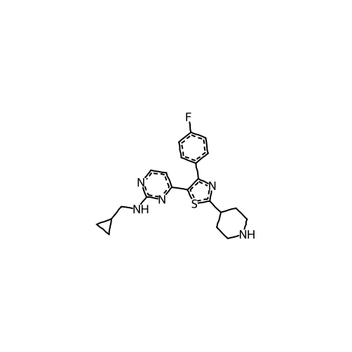 Fc1ccc(-c2nc(C3CCNCC3)sc2-c2ccnc(NCC3CC3)n2)cc1